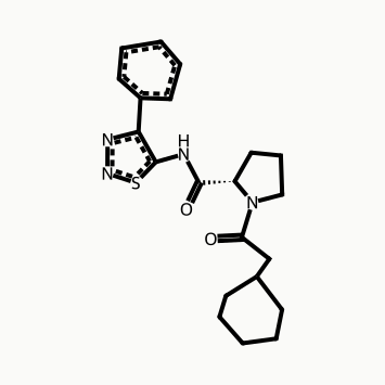 O=C(Nc1snnc1-c1ccccc1)[C@@H]1CCCN1C(=O)CC1CCCCC1